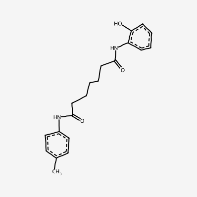 Cc1ccc(NC(=O)CCCCCC(=O)Nc2ccccc2O)cc1